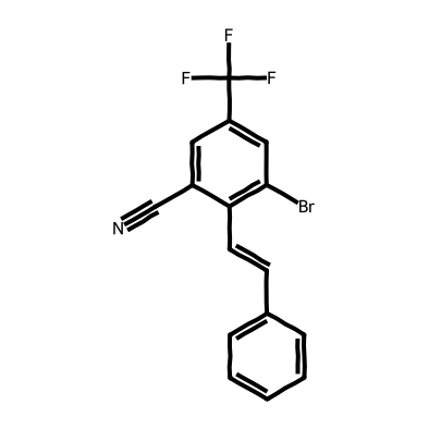 N#Cc1cc(C(F)(F)F)cc(Br)c1C=Cc1ccccc1